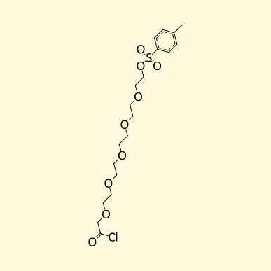 Cc1ccc(S(=O)(=O)OCCOCCOCCOCCOCCOCC(=O)Cl)cc1